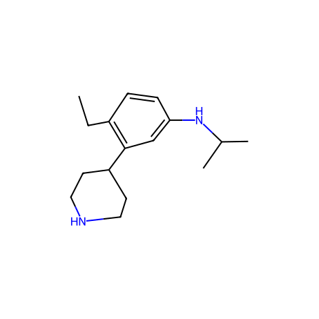 CCc1ccc(NC(C)C)cc1C1CCNCC1